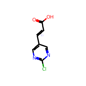 O=C(O)/C=C/c1cnc(Cl)nc1